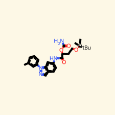 Cc1cccc(-n2ncc3ccc(NC(=O)C(CCO[Si](C)(C)C(C)(C)C)OC(N)=O)cc32)c1